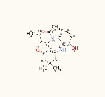 CCCC1C2=C(CC(C)(C)CC2=O)Nc2c(O)cccc2N1C(C)=O